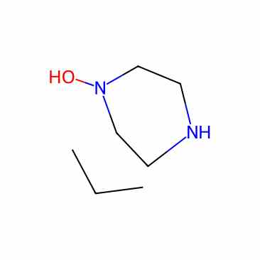 CCC.ON1CCNCC1